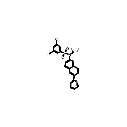 O=C(O)CN(c1ccc2cc(-c3ccccn3)ccc2c1)S(=O)(=O)c1cc(Cl)cc(Cl)c1